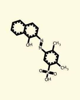 Cc1cc(C)c(S(=O)(=O)O)cc1N=Nc1ccc2ccccc2c1O